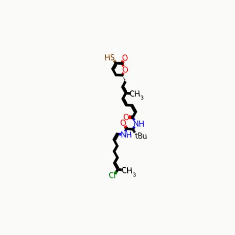 C/C(Cl)=C\CCC/C=C\NC(=O)C(NC(=O)\C=C/C=C\C(C)=C\C[C@@H]1CC=C(S)C(=O)O1)C(C)(C)C